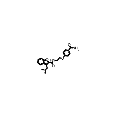 CN(C)Cc1c(C(=O)NCCOc2ccc(C(N)=O)cc2)oc2ccccc12